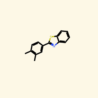 Cc1ccc(-c2nc3ccccc3s2)cc1C